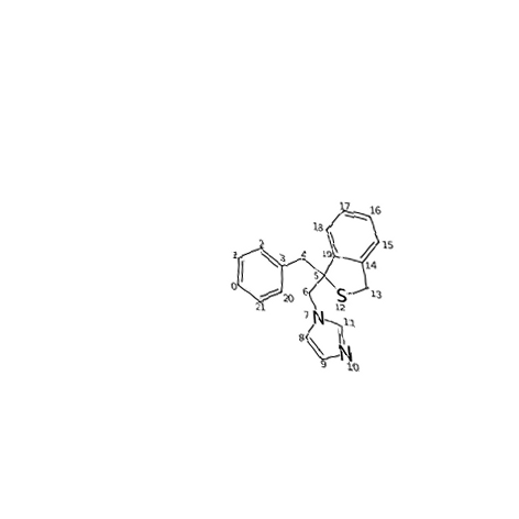 c1ccc(CC2(Cn3ccnc3)SCc3ccccc32)cc1